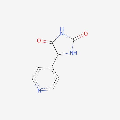 O=C1NC(=O)C(c2ccncc2)N1